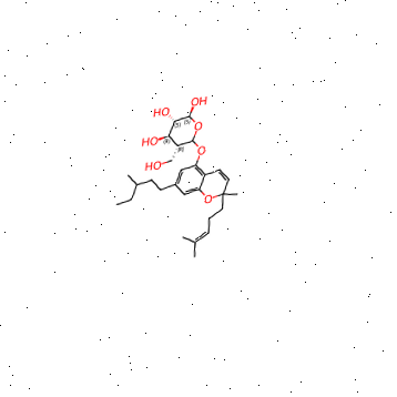 CCC(C)CCc1cc(OC2O[C@H](O)[C@@H](O)[C@H](O)[C@H]2CO)c2c(c1)OC(C)(CCC=C(C)C)C=C2